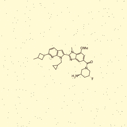 COc1cc(C(=O)N2C[C@H](N)C[C@@H](F)C2)cc2nc(-c3cc4ccc(C5CC(C)C5)nc4n3CC3CC3)n(C)c12